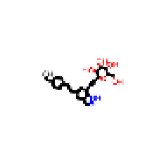 CCc1ccc(/C=C/c2cc(C#CC3OC(CO)[C@@H](O)C(O)C3O)c3[nH]ncc3c2)cc1